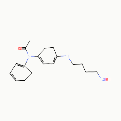 CC(=O)N(C1=CC=CCC1)C1=CC=C(NCCCCN=O)CC1